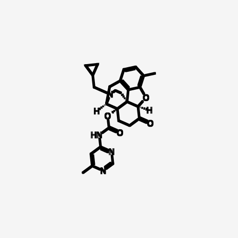 Cc1cc(NC(=O)O[C@@]23CCC(=O)[C@@H]4Oc5c(C)ccc6c5[C@@]42CCN(CC2CC2)[C@@H]3C6)ncn1